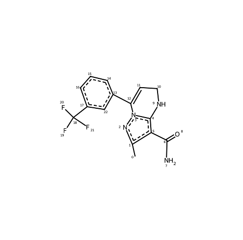 Cc1nn2c(c1C(N)=O)NCC=C2c1cccc(C(F)(F)F)c1